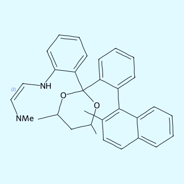 CN/C=C\Nc1ccccc1C1(c2ccccc2-c2c(C)ccc3ccccc23)OC(C)CC(C)O1